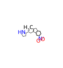 CC1=C(CCC2CCCN2)c2cc([N+](=O)[O-])ccc2C1